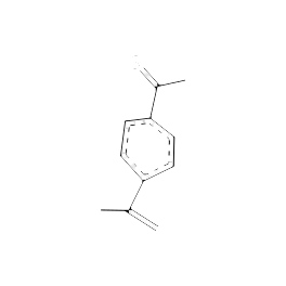 C=C(C)c1ccc(C(C)=S)cc1